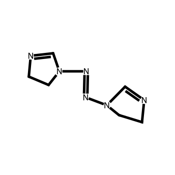 C1=NCCN1N=NN1C=NCC1